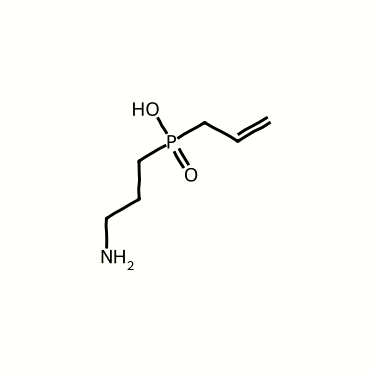 C=CCP(=O)(O)CCCN